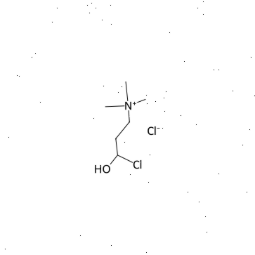 C[N+](C)(C)CCC(O)Cl.[Cl-]